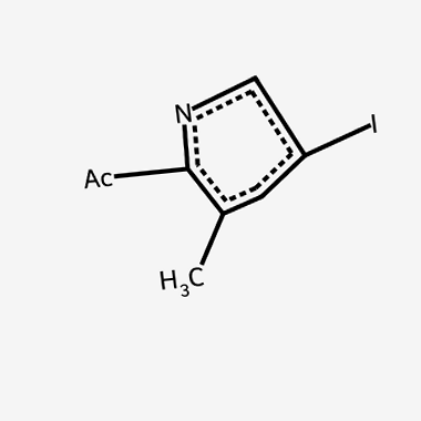 CC(=O)c1ncc(I)cc1C